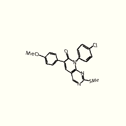 COc1ccc(-c2cc3cnc(SC)nc3n(-c3ccc(Cl)cc3)c2=O)cc1